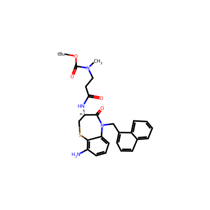 CN(CCC(=O)N[C@H]1CSc2c(N)cccc2N(Cc2cccc3ccccc23)C1=O)C(=O)OC(C)(C)C